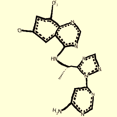 C[C@H](Nc1ncnc2c(C(F)(F)F)cc(Cl)cc12)c1ncnn1-c1cc(N)ncn1